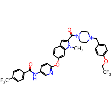 Cn1c(C(=O)N2CCN(Cc3ccc(OCC(F)(F)F)cc3)CC2)cc2ccc(Oc3ccc(NC(=O)c4ccc(C(F)(F)F)cc4)cn3)cc21